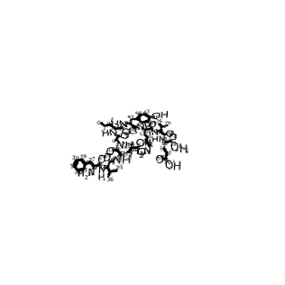 CC[C@H](C)[C@H](NC(=O)CNC(=O)[C@H](CCC(=O)O)NC(=O)[C@@H](NC(=O)[C@@H](N)Cc1ccccc1)C(C)C)C(=O)N[C@@H](Cc1ccc(O)cc1)C(=O)N[C@@H](CCCCN)C(=O)N[C@H](C(=O)N[C@@H](CCC(=O)O)C(=O)O)C(C)C